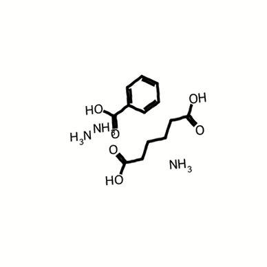 N.N.N.O=C(O)CCCCC(=O)O.O=C(O)c1ccccc1